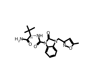 Cc1cc(Cn2c(=O)n(C(=O)N[C@H](C(N)=O)C(C)(C)C)c3ccccc32)no1